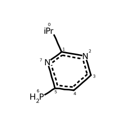 CC(C)c1nccc(P)n1